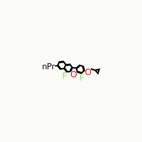 CCCc1ccc2cc3c(oc4c(F)c(OCC5CC5)ccc43)c(F)c2c1